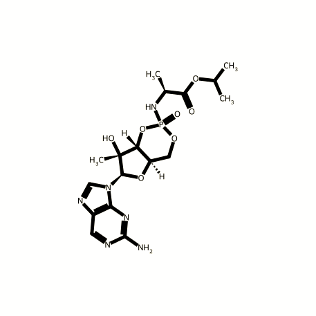 CC(C)OC(=O)[C@H](C)NP1(=O)OC[C@H]2O[C@@H](n3cnc4cnc(N)nc43)[C@](C)(O)[C@@H]2O1